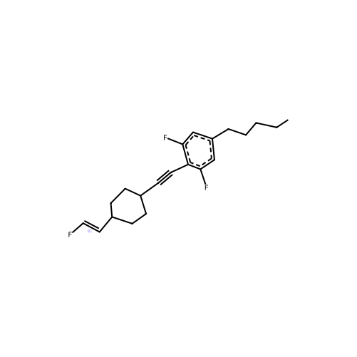 CCCCCc1cc(F)c(C#CC2CCC(/C=C/F)CC2)c(F)c1